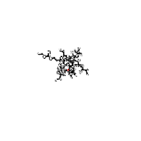 CCOC(=O)OCCC[Si](C)(O[Si](C)(C)C)O[Si](O[Si](C)(CCCOC(=O)CC)O[Si](C)(C)C)(O[Si](C)(CCCOC(=O)CC)O[Si](C)(C)C)O[Si](C)(CCCOC(=O)CC)O[Si](C)(C)C